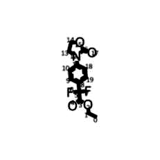 CCOC(=O)C(F)(F)c1ccc(N2CCOC2=O)cc1